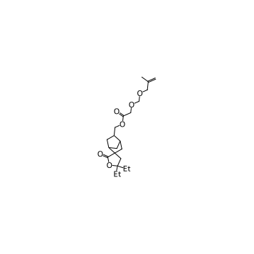 C=C(C)COCOCC(=O)OCC1CC2CC1CC21CC(CC)(CC)OC1=O